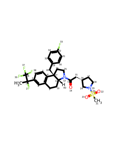 CC(F)(c1ccc2c(c1)CC[C@H]1N(C(=O)C[C@@H]3CCN(S(C)(=O)=O)C3)CC[C@@]21Cc1ccc(F)cc1)C(F)(F)F